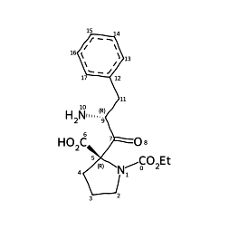 CCOC(=O)N1CCC[C@]1(C(=O)O)C(=O)[C@H](N)Cc1ccccc1